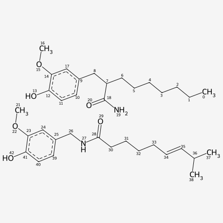 CCCCCCCC(Cc1ccc(O)c(OC)c1)C(N)=O.COc1cc(CNC(=O)CCCCC=CC(C)C)ccc1O